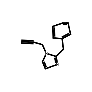 C#CCn1ccnc1Cc1ccccc1